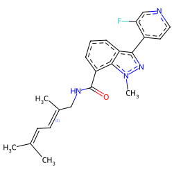 CC(C)=C/C=C(\C)CNC(=O)c1cccc2c(-c3ccncc3F)nn(C)c12